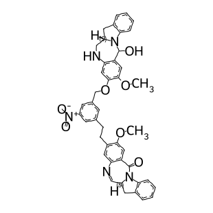 COc1cc2c(cc1CCc1cc(COc3cc4c(cc3OC)C(O)N3c5ccccc5C[C@H]3CN4)cc([N+](=O)[O-])c1)N=C[C@@H]1Cc3ccccc3N1C2=O